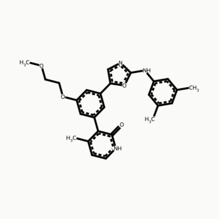 COCCOc1cc(-c2cnc(Nc3cc(C)cc(C)c3)o2)cc(-c2c(C)cc[nH]c2=O)c1